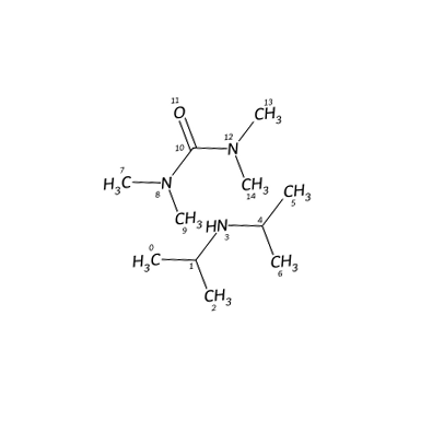 CC(C)NC(C)C.CN(C)C(=O)N(C)C